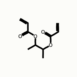 C=CC(=O)OC(C)C(C)OC(=O)C=C